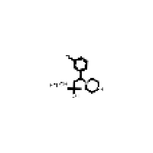 CC(C)(O)CC(c1cccc(Cl)c1)N1CCNCC1.Cl.Cl